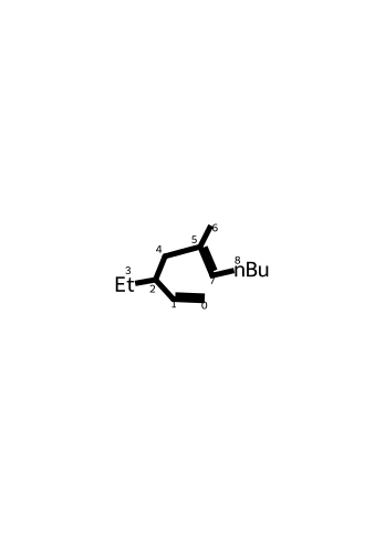 C=CC(CC)CC(C)=CCCCC